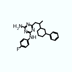 CC(Cc1nc(N)nc(Nc2ccc(F)cc2)n1)C1CCCC(c2ccccc2)C1